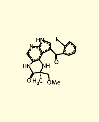 COC[C@]1(C)Nc2c(cnc3[nH]cc(C(=O)c4ccccc4I)c23)NC1=O